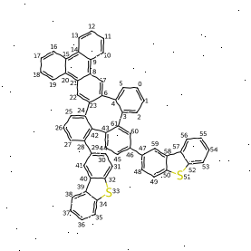 c1ccc2c(c1)-c1cc3c4ccccc4c4ccccc4c3cc1-c1cccc(-c3ccc4sc5ccccc5c4c3)c1-c1ccc(-c3ccc4sc5ccccc5c4c3)cc1-2